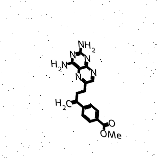 C=C(CCc1cnc2nc(N)nc(N)c2n1)c1ccc(C(=O)OC)cc1